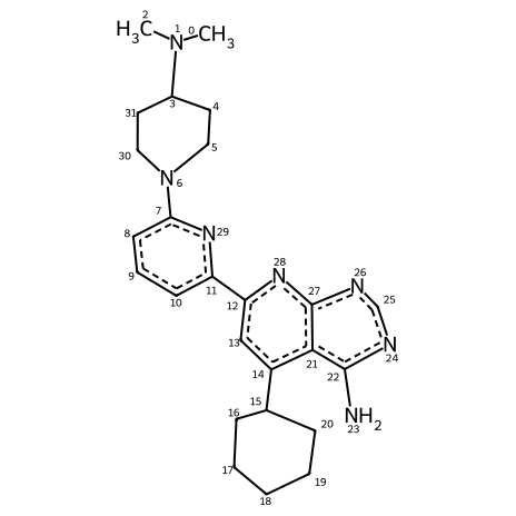 CN(C)C1CCN(c2cccc(-c3cc(C4CCCCC4)c4c(N)ncnc4n3)n2)CC1